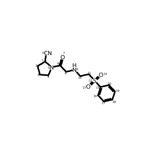 N#CC1CCCN1C(=O)CNCCS(=O)(=O)c1ccccc1